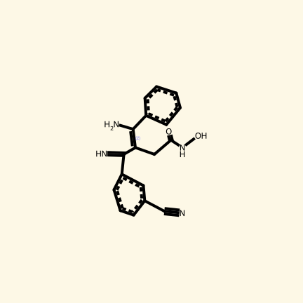 N#Cc1cccc(C(=N)/C(CC(=O)NO)=C(\N)c2ccccc2)c1